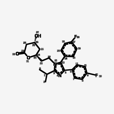 CC(C)c1nc(-c2ccc(F)cc2)c(-c2ccc(F)cc2)n1CC[C@@H]1C[C@@H](O)CC(=O)O1